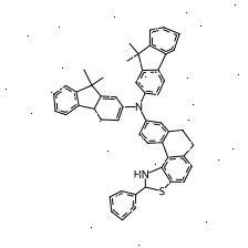 CC1(C)C2=CC(N(c3ccc4c(c3)CCc3ccc5c(c3-4)NC(c3ccccc3)S5)c3ccc4c(c3)C(C)(C)c3ccccc3-4)=CCC2c2ccccc21